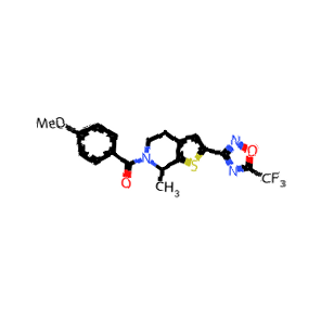 COc1ccc(C(=O)N2CCc3cc(-c4noc(C(F)(F)F)n4)sc3C2C)cc1